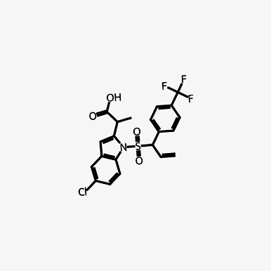 C=CC(c1ccc(C(F)(F)F)cc1)S(=O)(=O)n1c(C(C)C(=O)O)cc2cc(Cl)ccc21